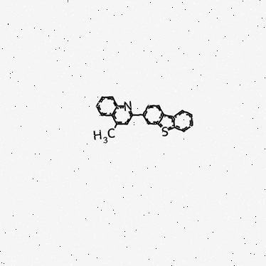 Cc1cc(-c2ccc3c(c2)sc2ccccc23)nc2ccccc12